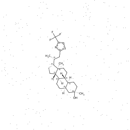 C[C@H](Cc1nc(C(F)(F)F)cs1)[C@H]1CC[C@H]2[C@@H]3CC[C@@H]4C[C@](C)(O)CC[C@@H]4[C@H]3CC[C@]12C